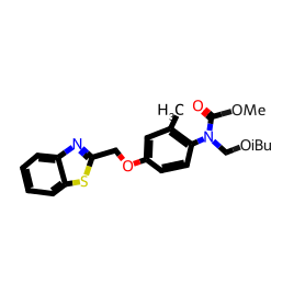 COC(=O)N(COCC(C)C)c1ccc(OCc2nc3ccccc3s2)cc1C